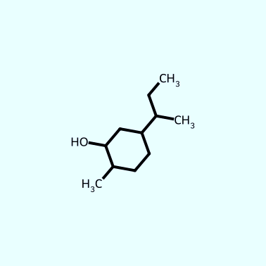 CCC(C)C1CCC(C)C(O)C1